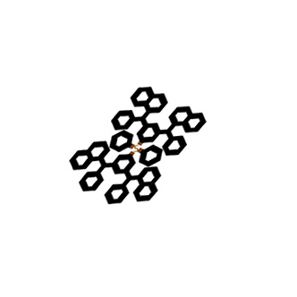 c1ccc(C(c2cc(C(c3ccccc3)c3cccc4ccccc34)cc(S(c3ccccc3)(c3ccccc3)c3cc(C(c4ccccc4)c4cccc5ccccc45)cc(C(c4ccccc4)c4cccc5ccccc45)c3)c2)c2cccc3ccccc23)cc1